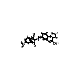 CN(C)c1ccc2c(c1)n(C)c(/N=N/c1ccc(N3CCCC3C(=O)O)cc1)[n+]2C